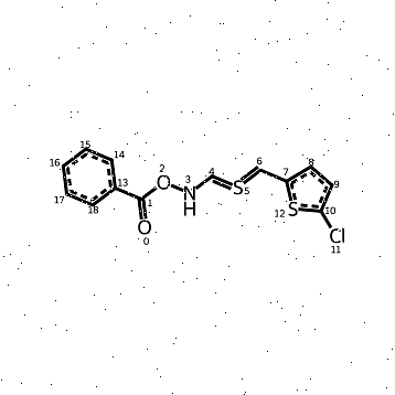 O=C(ONC=S=Cc1ccc(Cl)s1)c1ccccc1